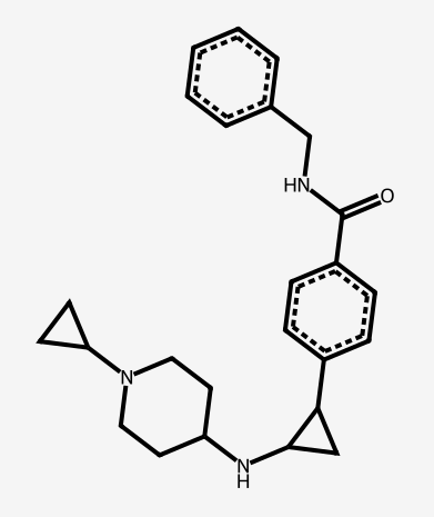 O=C(NCc1ccccc1)c1ccc(C2CC2NC2CCN(C3CC3)CC2)cc1